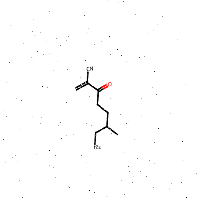 C=C(C#N)C(=O)CCC(C)CC(C)(C)C